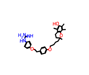 Cc1c(C)c2c(c(C)c1O)CCC(C)(CCCCOc1ccc(CCOc3ccc(NC(=N)N)cc3)cc1)O2